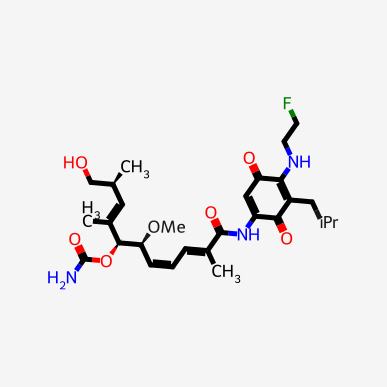 CO[C@@H](/C=C\C=C(/C)C(=O)NC1=CC(=O)C(NCCF)=C(CC(C)C)C1=O)[C@@H](OC(N)=O)/C(C)=C/[C@H](C)CO